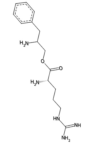 N=C(N)NCCC[C@H](N)C(=O)OCC(N)Cc1ccccc1